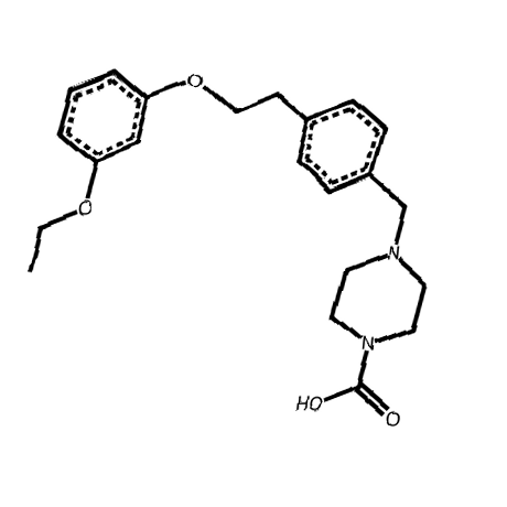 CCOc1cccc(OCCc2ccc(CN3CCN(C(=O)O)CC3)cc2)c1